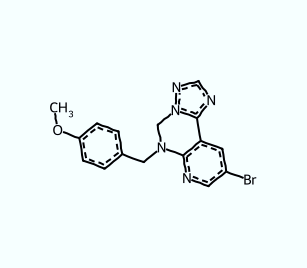 COc1ccc(CN2Cn3ncnc3-c3cc(Br)cnc32)cc1